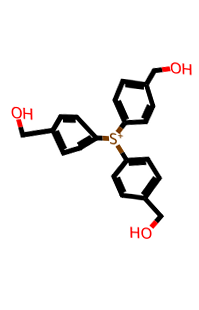 OCc1ccc([S+](c2ccc(CO)cc2)c2ccc(CO)cc2)cc1